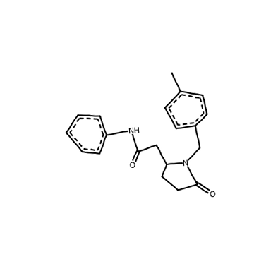 Cc1ccc(CN2C(=O)CCC2CC(=O)Nc2ccccc2)cc1